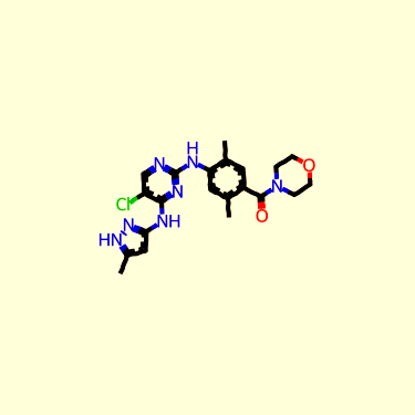 Cc1cc(Nc2nc(Nc3cc(C)c(C(=O)N4CCOCC4)cc3C)ncc2Cl)n[nH]1